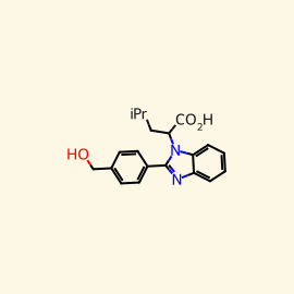 CC(C)CC(C(=O)O)n1c(-c2ccc(CO)cc2)nc2ccccc21